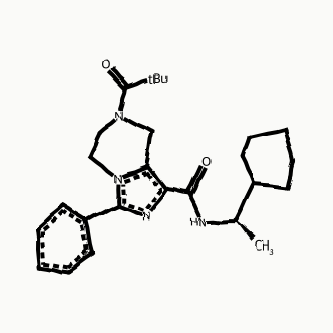 C[C@@H](NC(=O)c1nc(-c2ccccc2)n2c1CN(C(=O)C(C)(C)C)CC2)C1CCCCC1